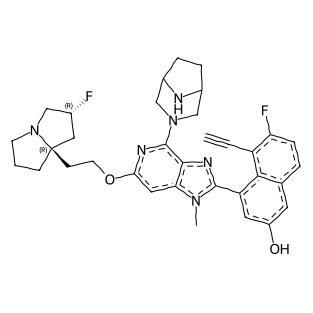 C#Cc1c(F)ccc2cc(O)cc(-c3nc4c(N5CC6CCC(C5)N6)nc(OCC[C@@]56CCCN5C[C@H](F)C6)cc4n3C)c12